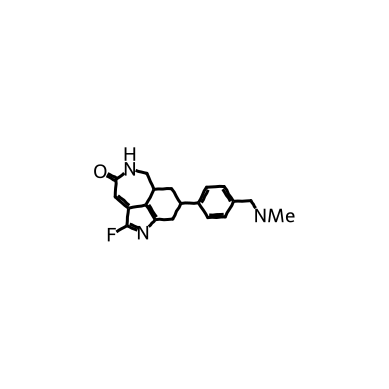 CNCc1ccc(C2CC3=C4C(=CC(=O)NCC4C2)C(F)=N3)cc1